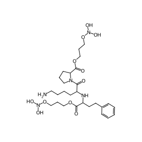 NCCCCC(NC(CCc1ccccc1)C(=O)OCCCON(O)O)C(=O)N1CCCC1C(=O)OCCCON(O)O